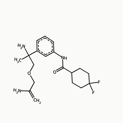 C=C(N)COCC(C)(N)c1cccc(NC(=O)C2CCC(F)(F)CC2)c1